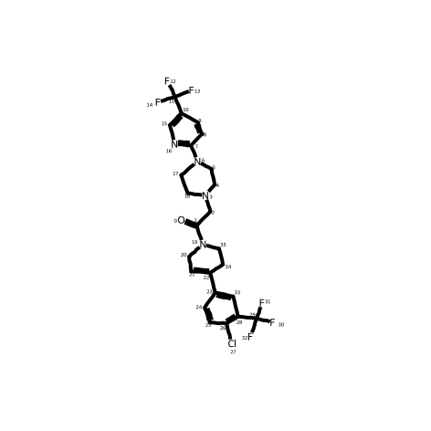 O=C(CN1CCN(c2ccc(C(F)(F)F)cn2)CC1)N1CC=C(c2ccc(Cl)c(C(F)(F)F)c2)CC1